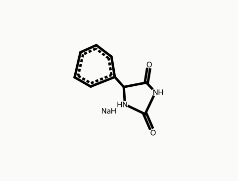 O=C1NC(=O)C(c2ccccc2)N1.[NaH]